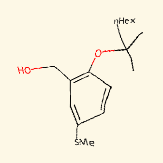 CCCCCCC(C)(C)Oc1ccc(SC)cc1CO